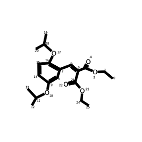 CCOC(=O)C(=Cc1cc(OC(C)C)ccc1OC(C)C)C(=O)OCC